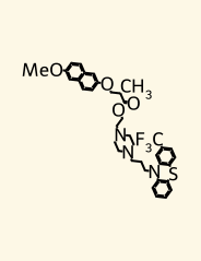 COc1ccc2cc(OCC(C)C(=O)OCCN3CCN(CCCN4c5ccccc5Sc5ccc(C(F)(F)F)cc54)CC3)ccc2c1